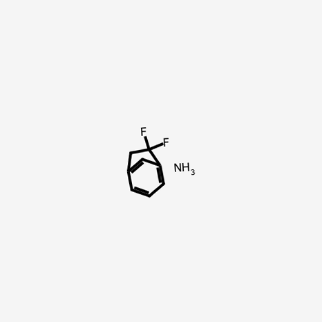 FC1(F)Cc2cccc1c2.N